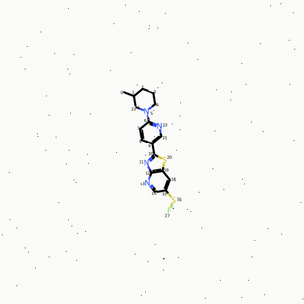 CC1CCCN(c2ccc(-c3nc4ncc(SF)cc4s3)cn2)C1